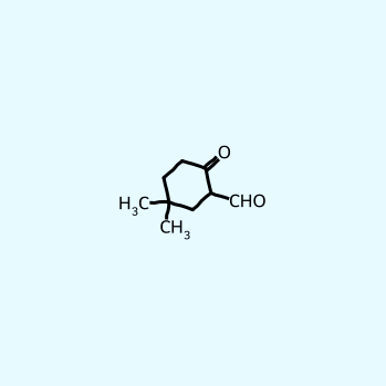 CC1(C)CCC(=O)C(C=O)C1